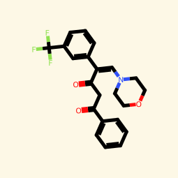 O=C(CC(=O)c1ccccc1)C(=CN1CCOCC1)c1cccc(C(F)(F)F)c1